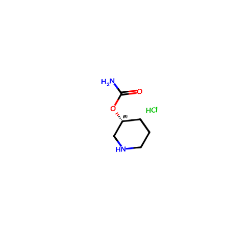 Cl.NC(=O)O[C@@H]1CCCNC1